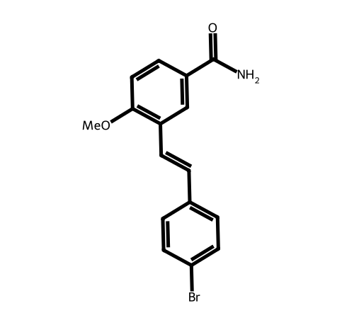 COc1ccc(C(N)=O)cc1C=Cc1ccc(Br)cc1